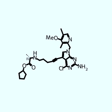 COc1c(C)cnc(Cn2cc(C#CCCCN[C@@H](C)C(=O)OC3CCCC3)c3c(Cl)nc(N)nc32)c1C